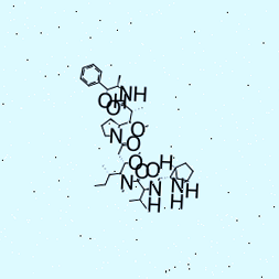 CC[C@H](C)[C@@H]([C@H](CC(=O)N1CCC[C@H]1[C@H](OC)[C@@H](C)C(=O)N[C@H](C)[C@H](O)c1ccccc1)OC)N(C)C(=O)[C@@H](NC(=O)[C@H]1N[C@@H]2CC[C@H]1C2)C(C)C